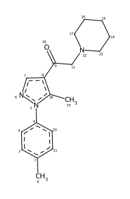 Cc1ccc(-n2ncc(C(=O)CN3CCCCC3)c2C)cc1